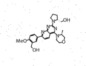 COc1ccc(-c2ccc3c(N4CCOC[C@@H]4C)nc(N4CCC[C@@H]4CO)nc3n2)cc1CO